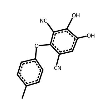 Cc1ccc(Oc2c(C#N)cc(O)c(O)c2C#N)cc1